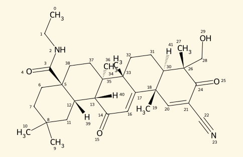 CCNC(=O)[C@]12CCC(C)(C)C[C@H]1[C@H]1C(=O)C=C3[C@@]4(C)C=C(C#N)C(=O)[C@@](C)(CO)[C@@H]4CC[C@@]3(C)[C@]1(C)CC2